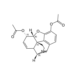 CC(=O)Oc1ccc2c3c1O[C@H]1[C@@H](OC(C)=O)C=CC4[C@@H](C2)NCC[C@@]341